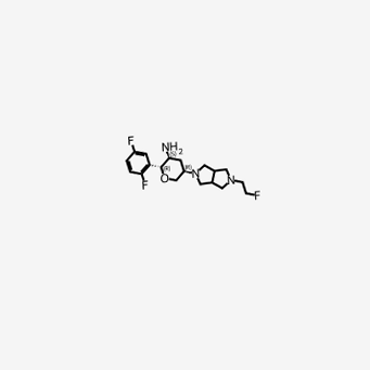 N[C@H]1C[C@@H](N2CC3CN(CCF)CC3C2)CO[C@@H]1c1cc(F)ccc1F